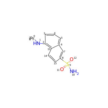 CC(C)Nc1cccc2cc(S(N)(=O)=O)ccc12